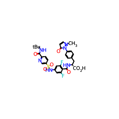 Cn1ccc(=O)n1-c1ccc(C[C@H](NC(=O)c2c(F)cc(NS(=O)(=O)c3ccc(C(=O)NC(C)(C)C)nc3)cc2F)C(=O)O)cc1